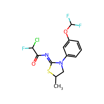 CC1CN(c2cccc(OC(F)F)c2)C(=NC(=O)C(F)Cl)S1